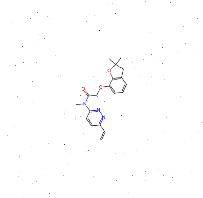 C=Cc1ccc(N(C)C(=O)COc2cccc3c2OC(C)(C)C3)nn1